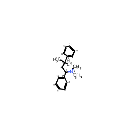 CN(C)C(CC(C)(C)c1ccccc1)c1ccccc1